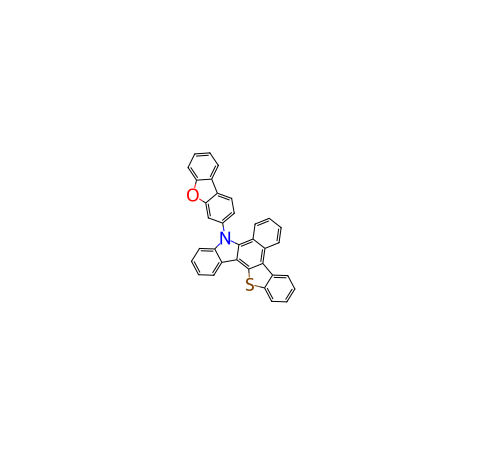 c1ccc2c(c1)oc1cc(-n3c4ccccc4c4c5sc6ccccc6c5c5ccccc5c43)ccc12